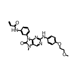 C=CC(=O)Nc1cccc(-n2c(=O)n(C)c3cnc(Nc4ccc(OCCOC)cc4)nc32)c1